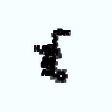 CCCCCCCCCCCCCCCCCCOCC(CN(Cc1ccccc1)C(C)=O)OP(=O)([O-])OCC[N+](C)(C)C